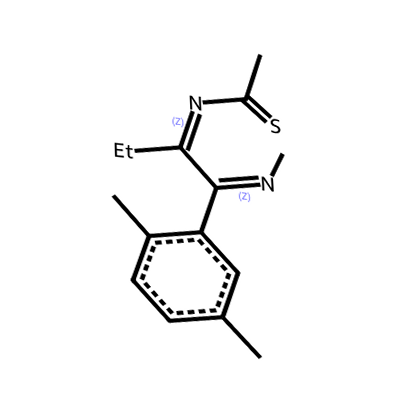 CCC(=N/C(C)=S)/C(=N\C)c1cc(C)ccc1C